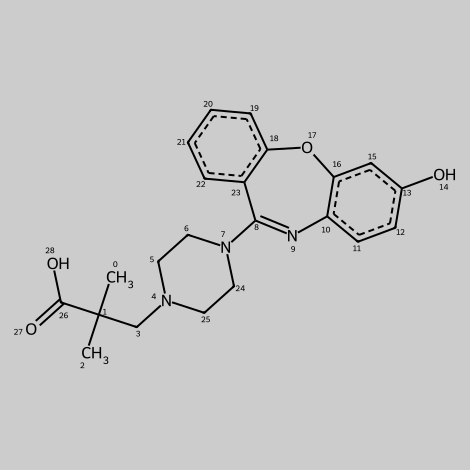 CC(C)(CN1CCN(C2=Nc3ccc(O)cc3Oc3ccccc32)CC1)C(=O)O